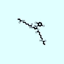 C=CC(=O)NCCCCCC(=O)Nc1cc(OC(=O)CCCCCNC(=O)C=C)n(-c2cc(Cl)ccc2Cl)n1